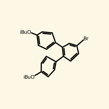 CC(C)COc1ccc(-c2ccc(Br)cc2-c2ccc(OCC(C)C)cc2)cc1